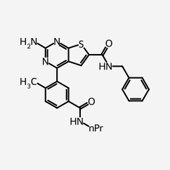 CCCNC(=O)c1ccc(C)c(-c2nc(N)nc3sc(C(=O)NCc4ccccc4)cc23)c1